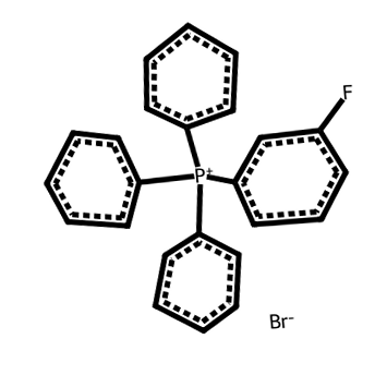 Fc1cccc([P+](c2ccccc2)(c2ccccc2)c2ccccc2)c1.[Br-]